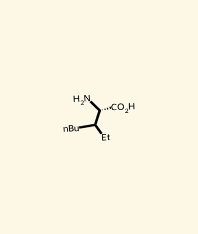 CCCCC(CC)[C@H](N)C(=O)O